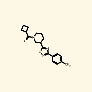 Cc1ccc(-c2noc(C3CCCN(C(=O)C4CCC4)C3)n2)cc1